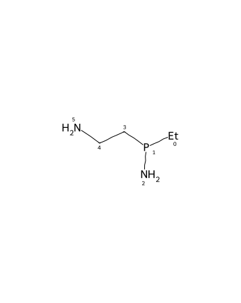 CCP(N)CCN